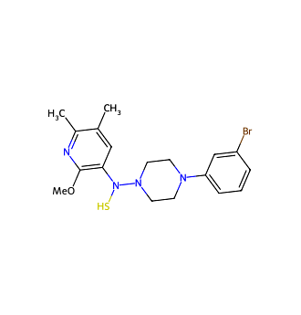 COc1nc(C)c(C)cc1N(S)N1CCN(c2cccc(Br)c2)CC1